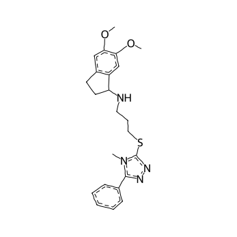 COc1cc2c(cc1OC)C(NCCCSc1nnc(-c3ccccc3)n1C)CC2